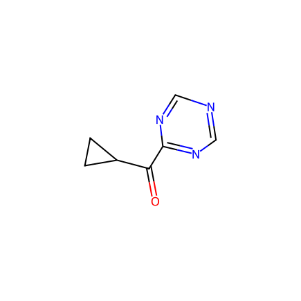 O=C(c1ncncn1)C1CC1